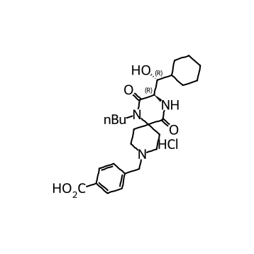 CCCCN1C(=O)[C@@H]([C@H](O)C2CCCCC2)NC(=O)C12CCN(Cc1ccc(C(=O)O)cc1)CC2.Cl